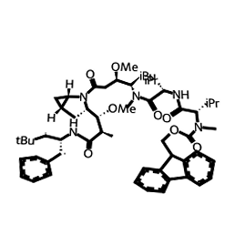 CC[C@H](C)[C@@H]([C@@H](CC(=O)N1[C@H]2C[C@H]2C[C@H]1[C@H](OC)[C@@H](C)C(=O)N[C@H]([CH]c1ccccc1)[CH]C(C)(C)C)OC)N(C)C(=O)[C@@H](NC(=O)[C@H](C(C)C)N(C)C(=O)OCC1c2ccccc2-c2ccccc21)C(C)C